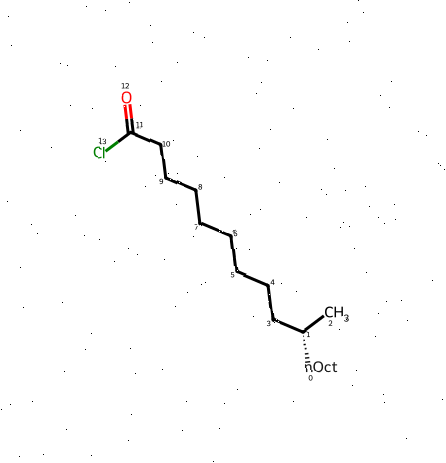 CCCCCCCC[C@@H](C)CCCCCCCCC(=O)Cl